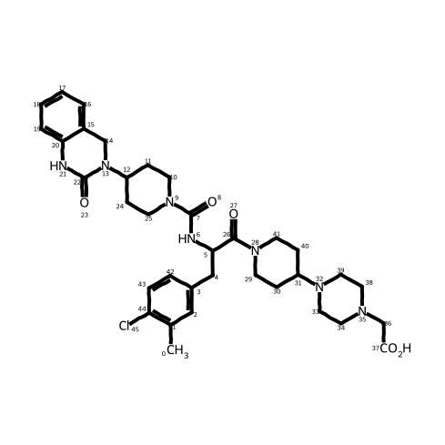 Cc1cc(CC(NC(=O)N2CCC(N3Cc4ccccc4NC3=O)CC2)C(=O)N2CCC(N3CCN(CC(=O)O)CC3)CC2)ccc1Cl